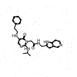 CC(C)Nc1ncc(NCCc2ccccc2)c(=O)n1CC(=O)NCc1cc2cnccc2[nH]1